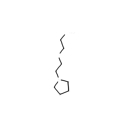 CCCCCCCOCCN1CCCC1